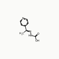 CC(=NNC(=O)O)c1ccncc1